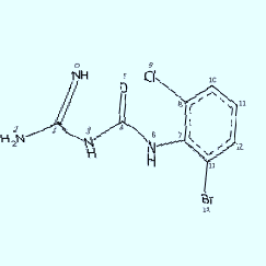 N=C(N)NC(=O)Nc1c(Cl)cccc1Br